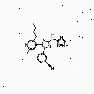 CCCCc1cnc(C)cc1-c1sc(Nc2nc[nH]n2)nc1-c1cccc(C#N)c1